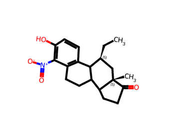 CC[C@H]1C[C@]2(C)C(=O)CCC2C2CCc3c(ccc(O)c3[N+](=O)[O-])C21